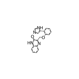 O=c1[nH]c2ccccc2nc1COc1ccccc1-c1cnc[nH]1